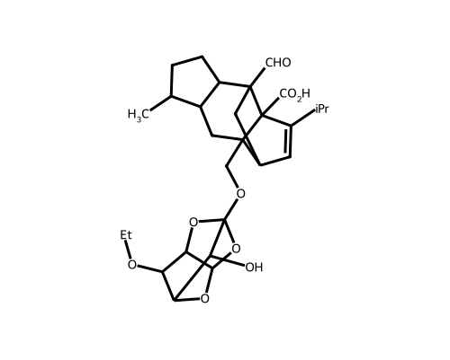 CCOC1C2OC3(OCC45CC6C(C)CCC6C6(C=O)CC4C=C(C(C)C)C65C(=O)O)OC2OC1C3O